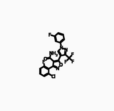 NC(=O)c1c(-c2c(F)cccc2Cl)noc1-c1cn(-c2cccc(F)c2)nc1C(F)(F)F